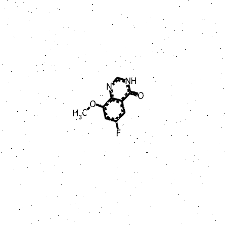 COc1cc(F)cc2c(=O)[nH]cnc12